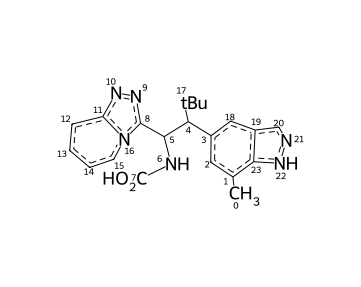 Cc1cc(C(C(NC(=O)O)c2nnc3ccccn23)C(C)(C)C)cc2cn[nH]c12